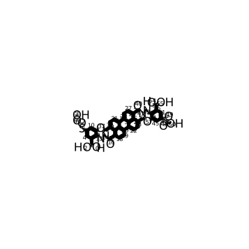 O=C(O)c1cc(SOOO)ccc1NN1C(=O)c2ccc3c4ccc5c6c(ccc(c7ccc(c2c37)C1=O)c64)C(=O)N(Nc1ccc(S(=O)(=O)O)cc1C(=O)O)C5=O